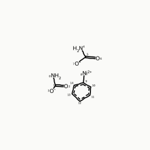 NC(=O)[O-].NC(=O)[O-].[Ni+2][c]1ccccc1